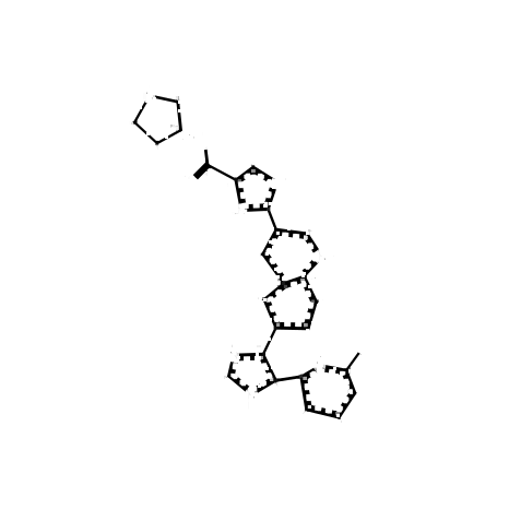 Cc1cccc(-c2[nH]cnc2-c2ccc3ncc(-c4nc(C(=O)O[C@@H]5CCNC5)cs4)cc3c2)n1